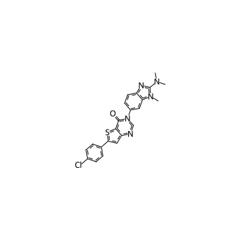 CN(C)c1nc2ccc(-n3cnc4cc(-c5ccc(Cl)cc5)sc4c3=O)cc2n1C